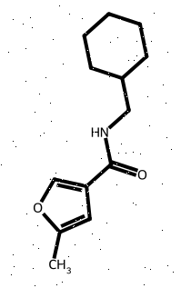 Cc1cc(C(=O)NCC2CCCCC2)[c]o1